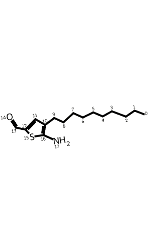 CCCCCCCCCCc1cc(C=O)sc1N